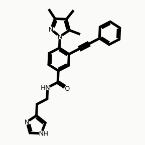 Cc1nn(-c2ccc(C(=O)NCCc3c[nH]cn3)cc2C#Cc2ccccc2)c(C)c1C